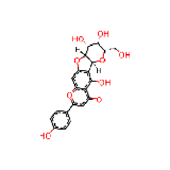 O=c1cc(-c2ccc(O)cc2)oc2cc3c(c(O)c12)[C@@H]1O[C@@H](CO)[C@@H](O)[C@@H](O)[C@H]1O3